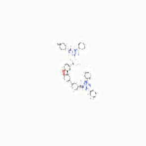 C/C=C\C(=C/Cc1nc(-c2ccccc2)nc(-c2ccc(C)cc2)n1)c1ccc2oc3ccc(-c4cccc(-c5nc(-c6ccccc6)nc(-c6ccc(C)cc6)n5)c4)cc3c2c1